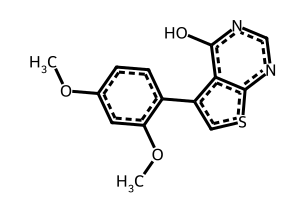 COc1ccc(-c2csc3ncnc(O)c23)c(OC)c1